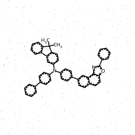 CC1(C)c2ccccc2-c2cc(N(c3ccc(-c4ccccc4)cc3)c3ccc(-c4ccc5ccc6oc(-c7ccccc7)nc6c5c4)cc3)ccc21